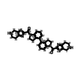 O=C(c1nc2c(s1)CNCC2)N1CCc2c(-c3cccc4c3CCN4C(=O)c3nc4c(s3)CNCC4)cccc21